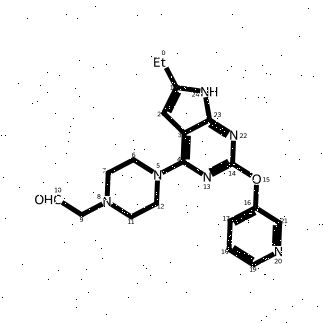 CCc1cc2c(N3CCN(CC=O)CC3)nc(Oc3cccnc3)nc2[nH]1